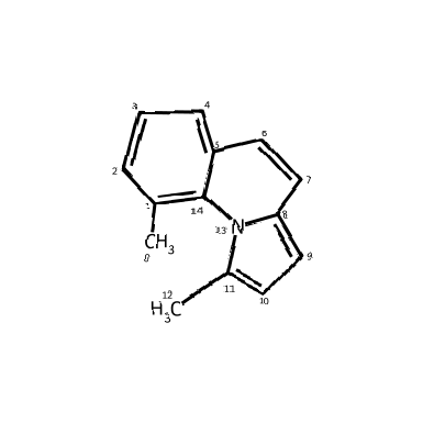 Cc1cccc2ccc3ccc(C)n3c12